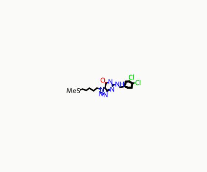 CSCCCCCN1N=NC2=NC(NCc3ccc(Cl)c(Cl)c3)=NC(=O)C21